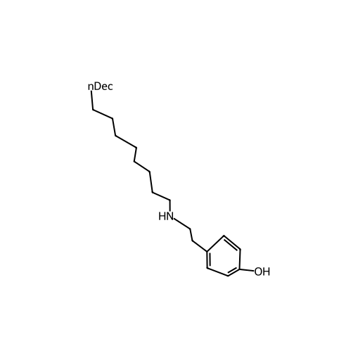 CCCCCCCCCCCCCCCCCCNCCc1ccc(O)cc1